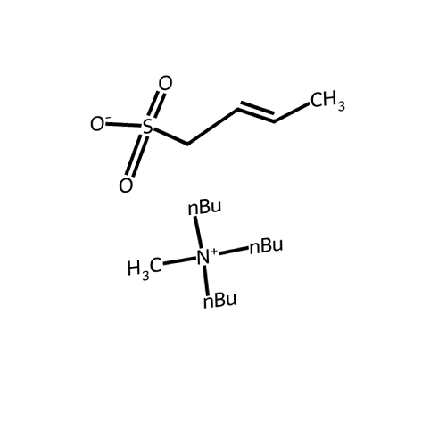 C/C=C/CS(=O)(=O)[O-].CCCC[N+](C)(CCCC)CCCC